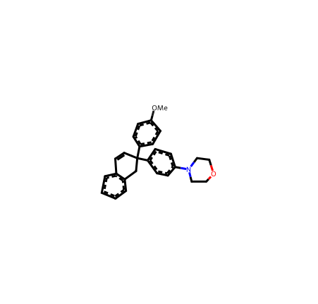 COc1ccc(C2(c3ccc(N4CCOCC4)cc3)C=Cc3ccccc3C2)cc1